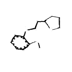 CSc1ccccc1OCCC1CCCN1